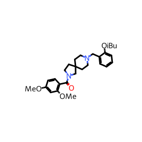 COc1ccc(C(=O)N2CCC3(CCN(Cc4ccccc4OCC(C)C)CC3)C2)c(OC)c1